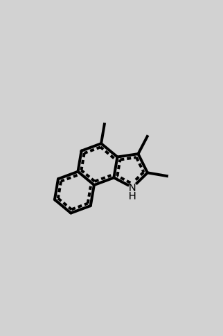 Cc1[nH]c2c(c(C)cc3ccccc32)c1C